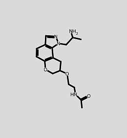 CC(=O)NCCOC1COc2ccc3cnn(CC(C)N)c3c2C1